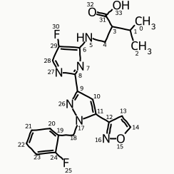 CC(C)C(CNc1nc(-c2cc(-c3ccon3)n(Cc3ccccc3F)n2)ncc1F)C(=O)O